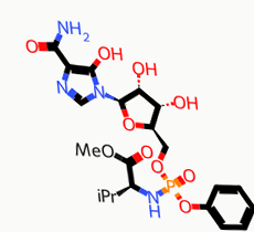 COC(=O)[C@@H](NP(=O)(OC[C@H]1O[C@@H](n2cnc(C(N)=O)c2O)[C@H](O)[C@@H]1O)Oc1ccccc1)C(C)C